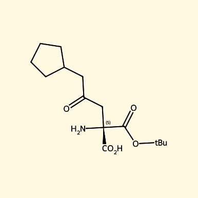 CC(C)(C)OC(=O)[C@](N)(CC(=O)CC1CCCC1)C(=O)O